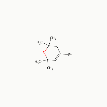 CC(C)C1=CC(C)(C)OC(C)(C)C1